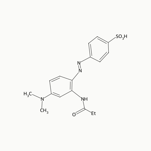 CCC(=O)Nc1cc(N(C)C)ccc1/N=N/c1ccc(S(=O)(=O)O)cc1